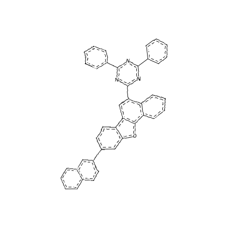 c1ccc(-c2nc(-c3ccccc3)nc(-c3cc4c5ccc(-c6ccc7ccccc7c6)cc5oc4c4ccccc34)n2)cc1